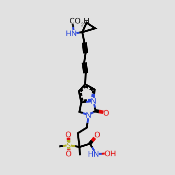 CC(CCN1Cc2cc(C#CC#CC3(NC(=O)O)CC3)cn2C1=O)(C(=O)NO)S(C)(=O)=O